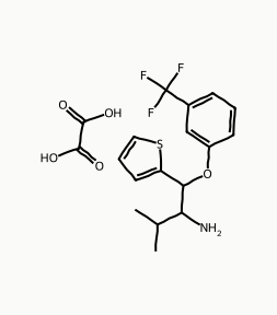 CC(C)C(N)C(Oc1cccc(C(F)(F)F)c1)c1cccs1.O=C(O)C(=O)O